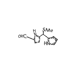 CSC(c1ccc[nH]1)c1ccc(C=O)[nH]1